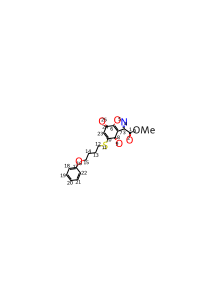 COC(=O)c1noc2c1C(=O)C(SCCCCOc1ccccc1)=CC2=O